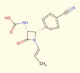 CC=CN1C(=O)[C@H](NC(=O)O)[C@@H]1c1ccc(C#N)cc1